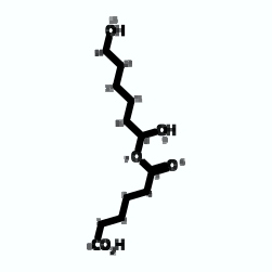 O=C(O)CCCCC(=O)OC(O)CCCCCO